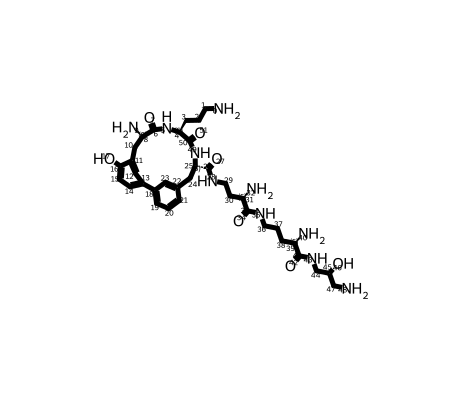 NCCC[C@@H]1NC(=O)[C@@H](N)Cc2cc(ccc2O)-c2cccc(c2)C[C@@H](C(=O)NCC[C@H](N)C(=O)NCCC[C@H](N)C(=O)NCC(O)CN)NC1=O